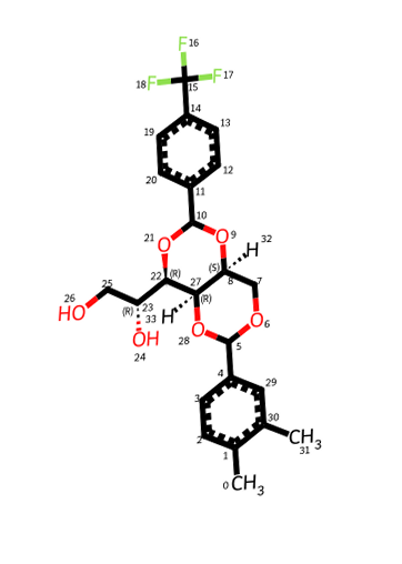 Cc1ccc(C2OC[C@@H]3OC(c4ccc(C(F)(F)F)cc4)O[C@H]([C@H](O)CO)[C@@H]3O2)cc1C